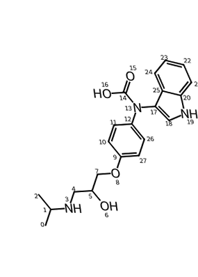 CC(C)NCC(O)COc1ccc(N(C(=O)O)c2c[nH]c3ccccc23)cc1